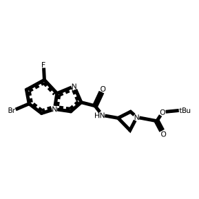 CC(C)(C)OC(=O)N1CC(NC(=O)c2cn3cc(Br)cc(F)c3n2)C1